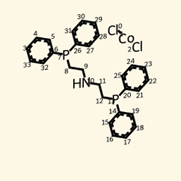 [Cl][Co][Cl].c1ccc(P(CCNCCP(c2ccccc2)c2ccccc2)c2ccccc2)cc1